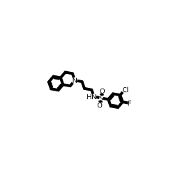 O=S(=O)(NCCCN1CCc2ccccc2C1)c1ccc(F)c(Cl)c1